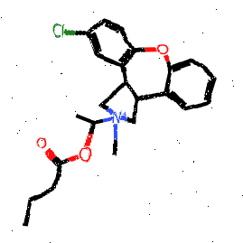 CCCC(=O)OC(C)[N+]1(C)CC2c3ccccc3Oc3ccc(Cl)cc3C2C1